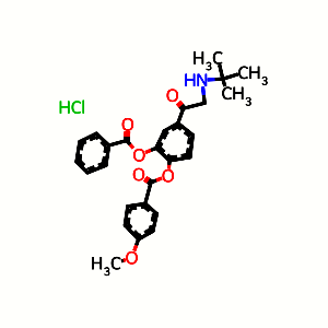 COc1ccc(C(=O)Oc2ccc(C(=O)CNC(C)(C)C)cc2OC(=O)c2ccccc2)cc1.Cl